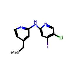 CSCc1ccnc(Nc2cc(I)c(Cl)cn2)c1